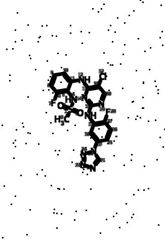 CS(=O)(=O)Nc1c(F)cccc1Nc1nc(Nc2cc(-n3cnnn3)ccc2F)ncc1Cl